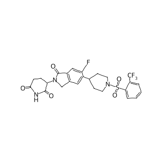 O=C1CCC(N2Cc3cc(C4CCN(S(=O)(=O)c5ccccc5C(F)(F)F)CC4)c(F)cc3C2=O)C(=O)N1